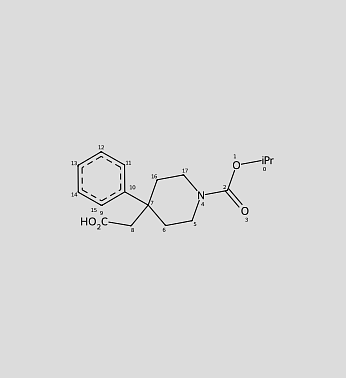 CC(C)OC(=O)N1CCC(CC(=O)O)(c2ccccc2)CC1